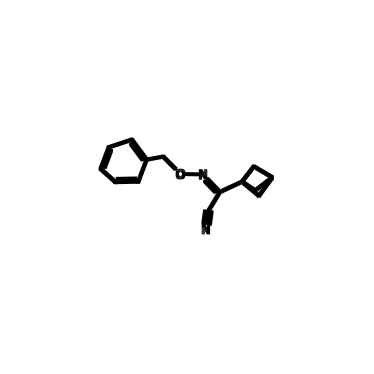 N#C/C(=N\OCc1ccccc1)C12CC(C1)C2